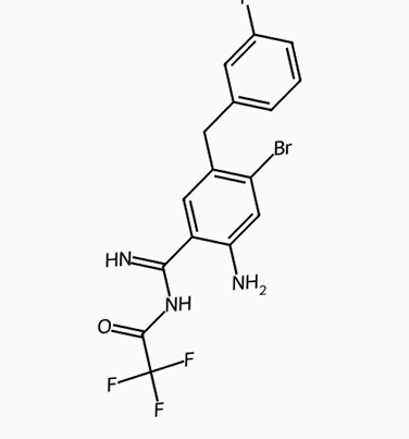 N=C(NC(=O)C(F)(F)F)c1cc(Cc2cccc(F)c2)c(Br)cc1N